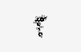 CC1=C(C(N)=O)C(c2ccc(C(F)(F)F)c(F)c2)n2nc(NC(=O)COC3CCN(C)CC3)cc2N1